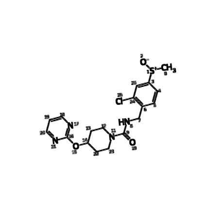 C[S+]([O-])c1ccc(CNC(=O)N2CCC(Oc3ncccn3)CC2)c(Cl)c1